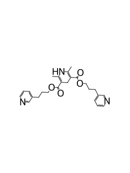 CC1=C(C(=O)OCCCc2cccnc2)CC(C(=O)OCCCc2cccnc2)=C(C)N1